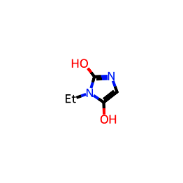 CCn1c(O)cnc1O